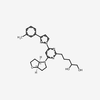 Cc1cccc(-c2ccn(-c3cc(N4CC[C@H]5OCC[C@H]54)nc(CCCC(O)CO)n3)n2)c1